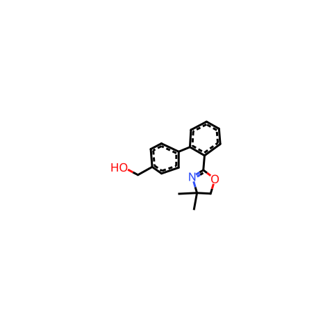 CC1(C)COC(c2ccccc2-c2ccc(CO)cc2)=N1